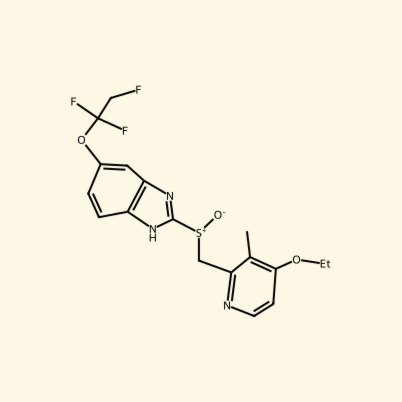 CCOc1ccnc(C[S+]([O-])c2nc3cc(OC(F)(F)CF)ccc3[nH]2)c1C